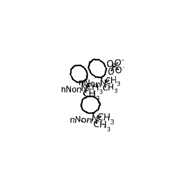 CCCCCCCCC[N+](C)(C)C1CCCCCCCCC1.CCCCCCCCC[N+](C)(C)C1CCCCCCCCC1.CCCCCCCCC[N+](C)(C)C1CCCCCCCCC1.O=P([O-])([O-])[O-]